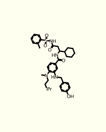 Cc1ccccc1S(=O)(=O)NC(=O)CC(NC(=O)c1ccc(N(C)CCC(C)C)c(NCc2ccc(O)cc2)c1)C1CCCCC1